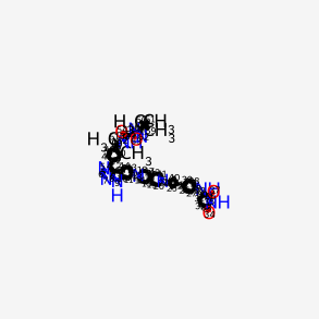 Cc1cc(-c2ncnc3[nH]c4cc(N5CCC6(CC5)CCN([C@H]5C[C@H](c7ccc(N[C@H]8CCC(=O)NC8=O)cc7)C5)CC6)ccc4c23)ccc1[C@@H](C)NC(=O)c1nc(C(C)(C)C)no1